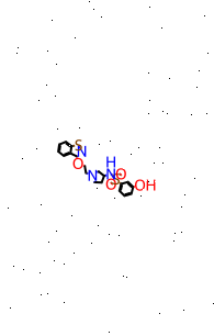 O=S(=O)(NC1CCN(CCOc2nsc3ccccc23)C1)c1cccc(O)c1